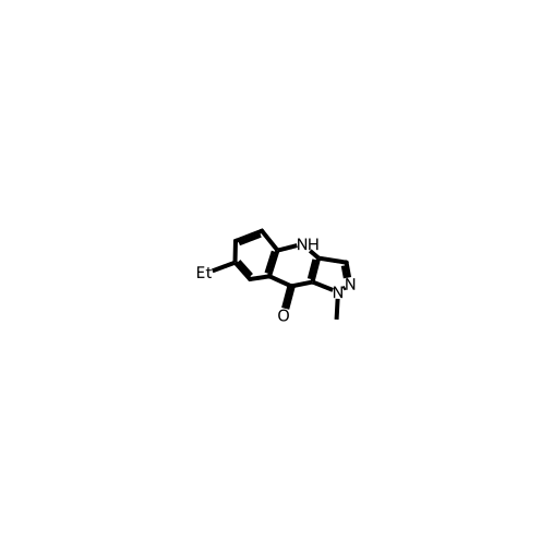 CCc1ccc2[nH]c3cnn(C)c3c(=O)c2c1